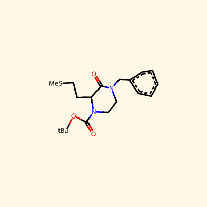 CSCCC1C(=O)N(Cc2ccccc2)CCN1C(=O)OC(C)(C)C